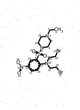 CCN1CCN(S(=O)(=O)c2cc([N+](=O)[O-])ccc2N(CCBr)CCBr)CC1